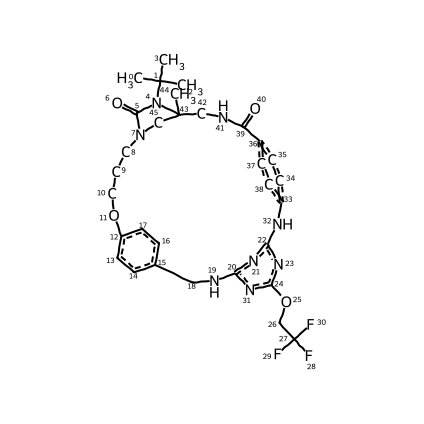 CC(C)(C)N1C(=O)N2CCCOc3ccc(cc3)CNc3nc(nc(OCC(F)(F)F)n3)Nc3ccc(cc3)C(=O)NCC1(C)C2